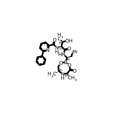 CC(C)C[C@H](NC(=O)[C@@H](NC(=O)c1cccc(-c2ccccc2)n1)[C@@H](C)O)B1OC[C@@H](C)N[C@H](C)C(=O)O1